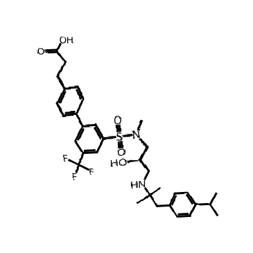 CC(C)c1ccc(CC(C)(C)NC[C@@H](O)CN(C)S(=O)(=O)c2cc(-c3ccc(CCC(=O)O)cc3)cc(C(F)(F)F)c2)cc1